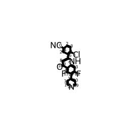 N#Cc1ccc(Cl)c(-c2cc(=O)c3c(F)c(-c4ccncc4)c(F)cc3[nH]2)c1